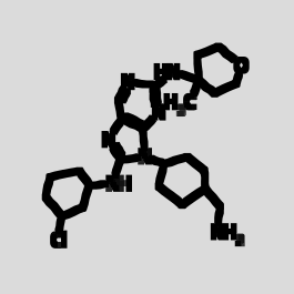 CC1(Nc2ncc3nc(NC4CCCC(Cl)C4)n(C4CCC(CN)CC4)c3n2)CCOCC1